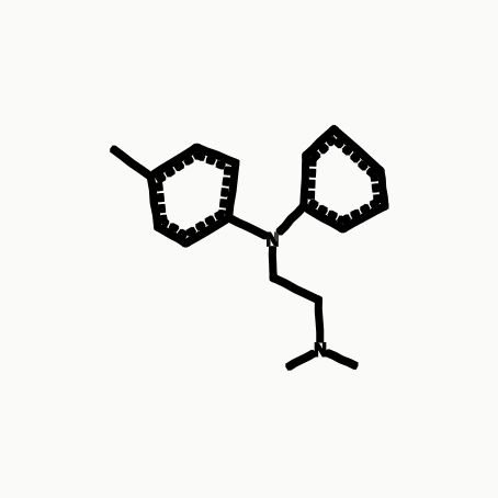 Cc1ccc(N(CCN(C)C)c2ccccc2)cc1